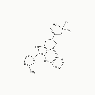 CC(C)(C)OC(=O)N1CC(=O)c2c([nH]c(-c3ccnc(N)c3)c2Nc2ccccn2)C1